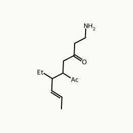 CC=CC(CC)C(CC(=O)CCN)C(C)=O